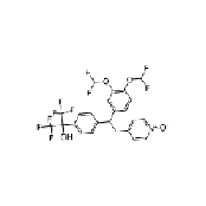 [O-][n+]1ccc(CC(c2ccc(C(O)(C(F)(F)F)C(F)(F)F)cc2)c2ccc(OC(F)F)c(OC(F)F)c2)cc1